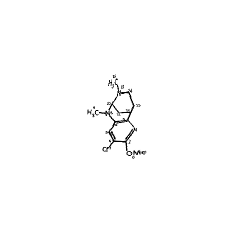 COc1cc2c(cc1Cl)N(C)C1CC2CCN1C